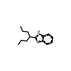 CCCC(CCC)c1nc2ccccc2[nH]1